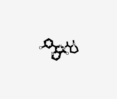 CC(C1CCCCN1C)n1nc(-c2cccc(Cl)c2)c2ncccc2c1=O